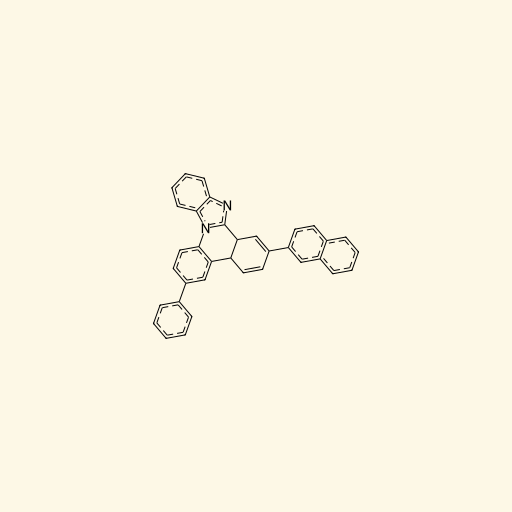 C1=CC2c3cc(-c4ccccc4)ccc3-n3c(nc4ccccc43)C2C=C1c1ccc2ccccc2c1